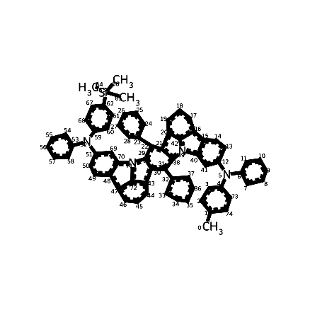 Cc1ccc(N(c2ccccc2)c2ccc3c4cccc5c6c(-c7ccccc7)c7c(c(-c8ccccc8)c6n(c3c2)c45)c2cccc3c4ccc(N(c5ccccc5)c5ccc([Si](C)(C)C)cc5)cc4n7c32)cc1